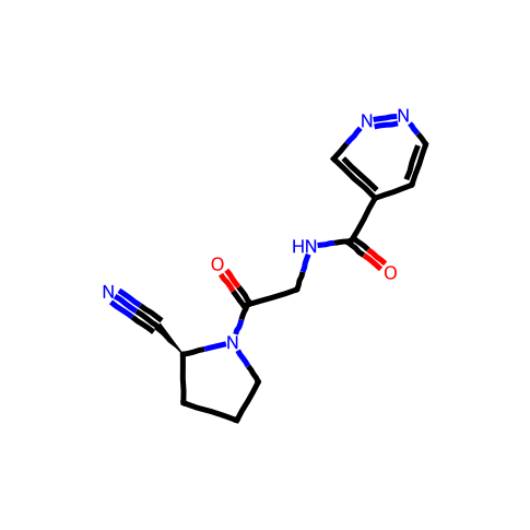 N#C[C@@H]1CCCN1C(=O)CNC(=O)c1ccnnc1